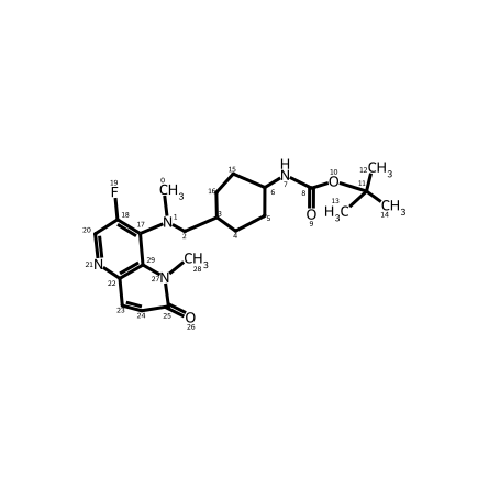 CN(CC1CCC(NC(=O)OC(C)(C)C)CC1)c1c(F)cnc2ccc(=O)n(C)c12